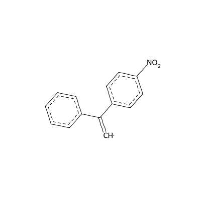 [CH]=C(c1ccccc1)c1ccc([N+](=O)[O-])cc1